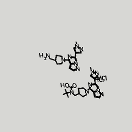 Cl.Cl.Cn1cc(-c2cn3nccc3c(N3CCC(CN(C(=O)O)C(C)(C)C)CC3)n2)cn1.Cn1cc(-c2cn3nccc3c(N3CCC(CN)CC3)n2)cn1